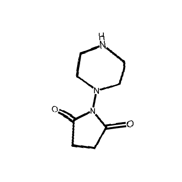 O=C1CCC(=O)N1N1CCNCC1